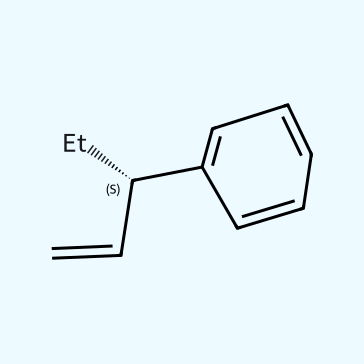 C=C[C@H](CC)c1ccccc1